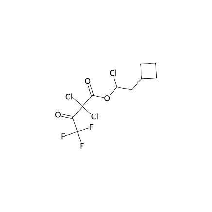 O=C(OC(Cl)CC1CCC1)C(Cl)(Cl)C(=O)C(F)(F)F